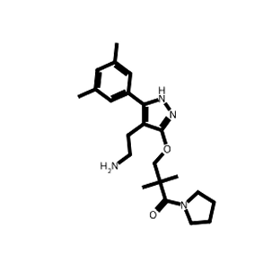 Cc1cc(C)cc(-c2[nH]nc(OCC(C)(C)C(=O)N3CCCC3)c2CCN)c1